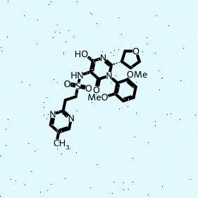 COc1cccc(OC)c1-n1c([C@H]2CCOC2)nc(O)c(NS(=O)(=O)CCc2ncc(C)cn2)c1=O